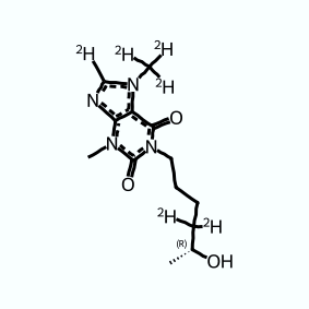 [2H]c1nc2c(c(=O)n(CCCC([2H])([2H])[C@@H](C)O)c(=O)n2C)n1C([2H])([2H])[2H]